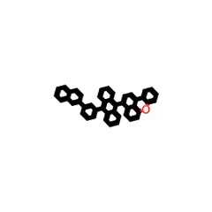 c1cc(-c2ccc3ccccc3c2)cc(-c2c3ccccc3c(-c3ccc4c5c(cccc35)Oc3ccccc3-4)c3ccccc23)c1